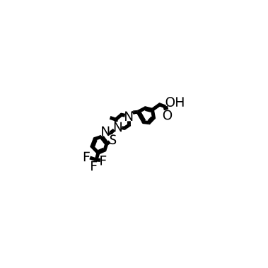 CC1CN(Cc2cccc(CC(=O)O)c2)CCN1c1nc2ccc(C(F)(F)F)cc2s1